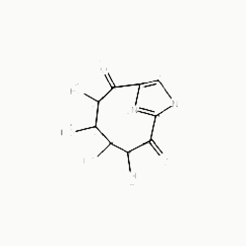 O=C1c2[c][nH]c(n2)C(=O)C(O)C(O)C(O)C1O